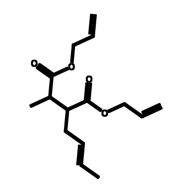 C=CCOC(=O)C(C)C(CC=CC)C(=O)OCC=C